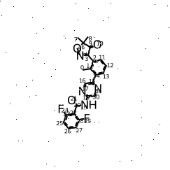 Cc1c(C2=NOC(C)(C)C2=O)cccc1-c1cnc(NC(=O)c2c(F)cccc2F)cn1